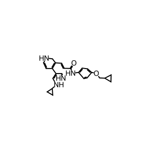 N=C/C(=C\NC1CC1)C1=C(/C=C/C(=O)Nc2ccc(OCC3CC3)cc2)CNC=C1